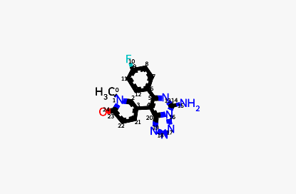 Cn1cc(-c2c(-c3ccc(F)cc3)nc(N)n3nnnc23)ccc1=O